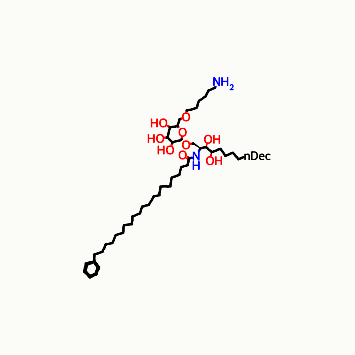 CCCCCCCCCCCCCC[C@@H](O)[C@@H](O)[C@H](COC1OC(COCCCCCCN)C(O)C(O)C1O)NC(=O)CCCCCCCCCCCCCCCCCCCCc1ccccc1